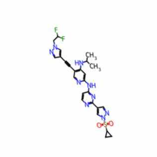 CC(C)Nc1cc(Nc2ccnc(-c3cnn(S(=O)(=O)C4CC4)c3)n2)ncc1C#Cc1cnn(CC(F)F)c1